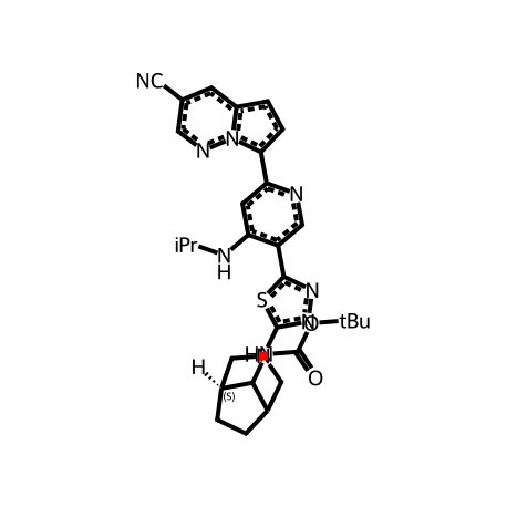 CC(C)Nc1cc(-c2ccc3cc(C#N)cnn23)ncc1-c1nnc(N2CC3CC[C@@H](C2)C3NC(=O)OC(C)(C)C)s1